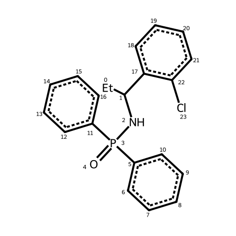 CCC(NP(=O)(c1ccccc1)c1ccccc1)c1ccccc1Cl